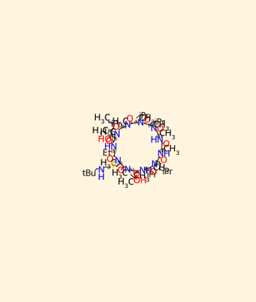 C/C=C/C[C@@H](C)[C@@H](O)[C@H]1C(=O)N[C@@H](CC)C(=O)N(C)[C@H](CSCCNCC(C)(C)C)C(=O)N(C)[C@@H](CC(C)(C)O)C(=O)N[C@H](C(C)C)C(=O)N(C)[C@H](CCC(C)C)C(=O)N[C@H](C)C(=O)N[C@@H](C)C(=O)N(C)[C@H](CC(C)C)C(=O)N(C)[C@@H](CC(C)C)C(=O)N(C)[C@@H](C(C)C)C(=O)N1C